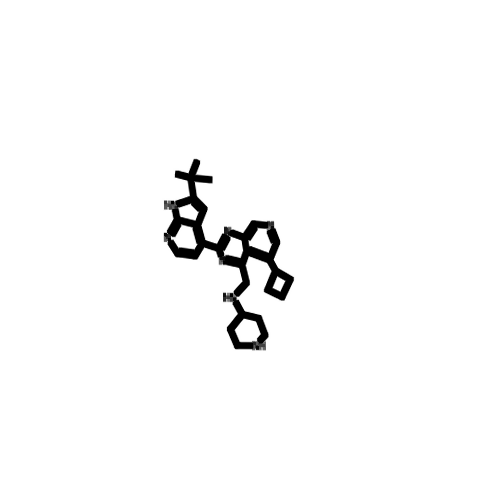 CC(C)(C)c1cc2c(-c3nc(CNC4CCNCC4)c4c(C5CCC5)cncc4n3)ccnc2[nH]1